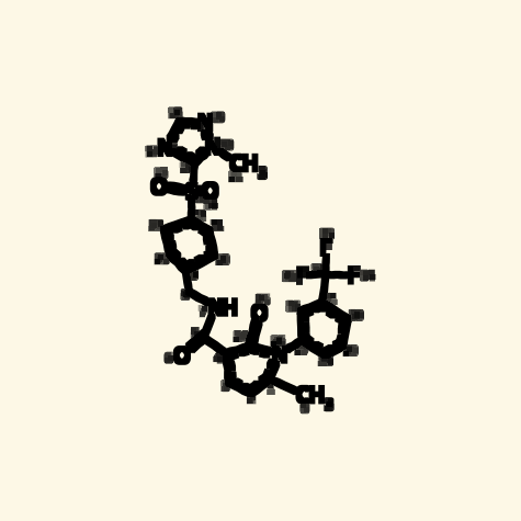 Cc1ccc(C(=O)NCc2ccc(S(=O)(=O)c3ncnn3C)cc2)c(=O)n1-c1cccc(C(F)(F)F)c1